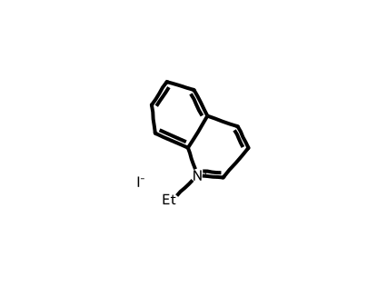 CC[n+]1cccc2ccccc21.[I-]